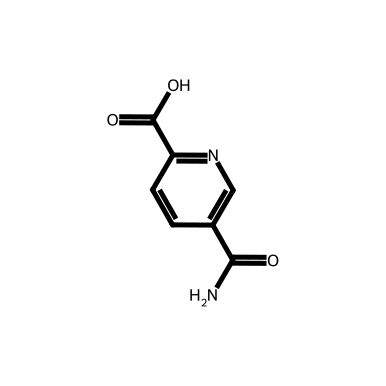 NC(=O)c1ccc(C(=O)O)nc1